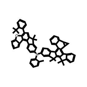 Cc1ccccc1N(c1ccc2c(c1)C(C)(C)c1cc(-c3ccccc3C(C)(C)C)c3oc4ccccc4c3c1-2)c1ccc2c(c1)C(C)(C)c1c-2c2c(c3c1C(C)(C)c1ccccc1-3)C1CC1c1ccccc1-2